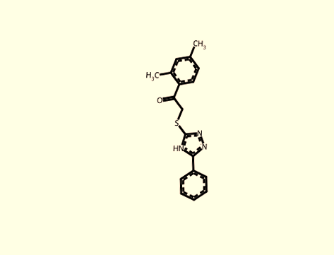 Cc1ccc(C(=O)CSc2nnc(-c3ccccc3)[nH]2)c(C)c1